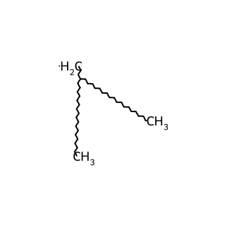 [CH2]CCC(CCCCCCCCCCCCCCCCCC)CCCCCCCCCCCCCCCCCCC